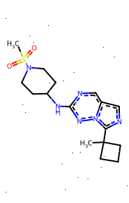 CC1(c2ncc3cnc(NC4CCN(S(C)(=O)=O)CC4)nn23)CCC1